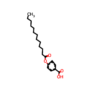 CCCCCCCCCCCCC(=O)Oc1ccc(C(=O)O)cc1